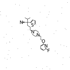 CC(C)C(C#N)(CCCN1CCN(CCOc2cccc(F)n2)CC1)c1cccs1